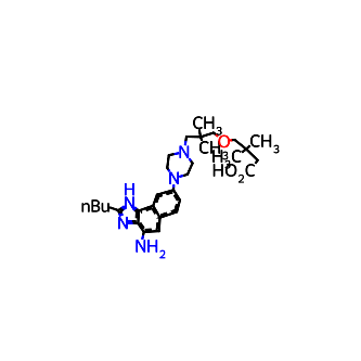 CCCCc1nc2c(N)cc3ccc(N4CCN(CC(C)(C)COCC(C)(C)CC(=O)O)CC4)cc3c2[nH]1